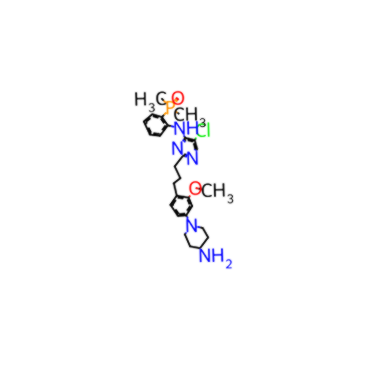 COc1cc(N2CCC(N)CC2)ccc1CCCc1ncc(Cl)c(Nc2ccccc2P(C)(C)=O)n1